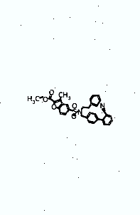 CCOC(=O)c1oc2ccc(S(=O)(=O)N(CCc3ccccc3)Cc3ccc(-c4ccccc4C#N)cc3)cc2c1C